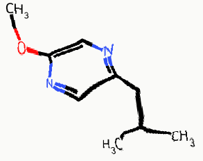 COc1cnc(CC(C)C)cn1